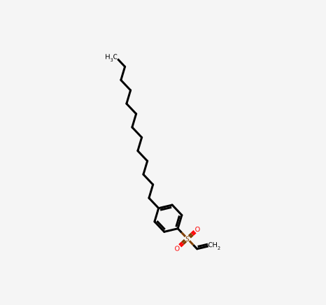 C=CS(=O)(=O)c1ccc(CCCCCCCCCCCCC)cc1